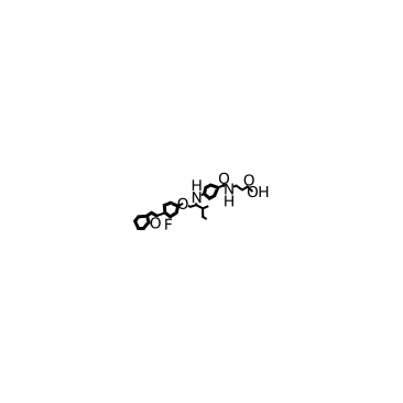 CCC(C)C(COc1ccc(-c2cc3ccccc3o2)c(F)c1)Nc1ccc(C(=O)NCCC(=O)O)cc1